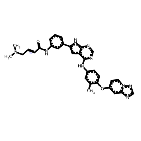 Cc1cc(Nc2ncnc3[nH]c(-c4cccc(NC(=O)/C=C/CN(C)C)c4)cc23)ccc1Oc1ccn2ncnc2c1